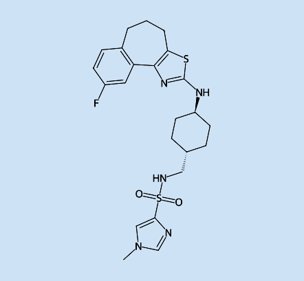 Cn1cnc(S(=O)(=O)NC[C@H]2CC[C@H](Nc3nc4c(s3)CCCc3ccc(F)cc3-4)CC2)c1